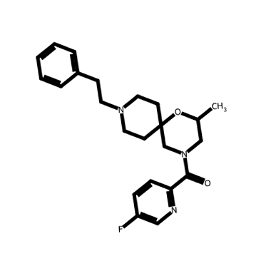 CC1CN(C(=O)c2ccc(F)cn2)CC2(CCN(CCc3ccccc3)CC2)O1